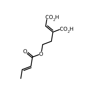 CC=CC(=O)OCC/C(=C/C(=O)O)C(=O)O